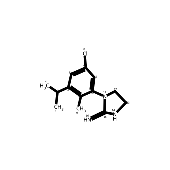 Cc1c(C(C)C)cc(Cl)cc1N1CCNC1=N